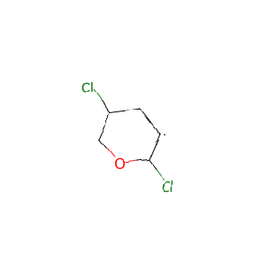 ClC1C[CH]C(Cl)OC1